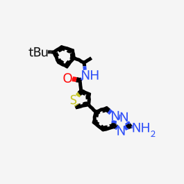 CC(NC(=O)c1cc(-c2ccc3nc(N)nn3c2)cs1)c1ccc(C(C)(C)C)cc1